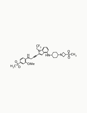 COc1cc(S(C)(=O)=O)ccc1NCC#Cc1cc2c(NC3CCC(N4CC(S(C)(=O)=O)C4)CC3)cccc2n1CC(F)(F)F